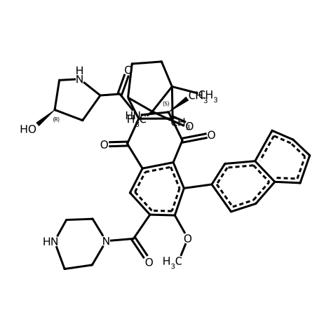 COc1c(C(=O)N2CCNCC2)cc(C(=O)C2C(=O)C3(C)CCC2C3(C)C)c(C(=O)[C@H](C)NC(=O)C2C[C@@H](O)CN2)c1-c1ccc2ccccc2c1